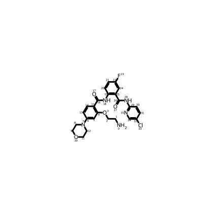 NCCOc1cc(N2CCOCC2)ccc1C(=O)Nc1ccc(F)cc1C(=O)Nc1ccc(Cl)cn1